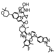 Cc1cc(-n2nc3c(c2-n2ccn(-c4ccc5c(cnn5CCN(C)C)c4)c2=O)[C@H](C)N(C(=O)c2cc4cc([C@H]5CCOC(C)(C)C5)ccc4n2[C@@]2(C4=NOC(O)N4)C[C@@H]2C)CC3)cc(C)c1F